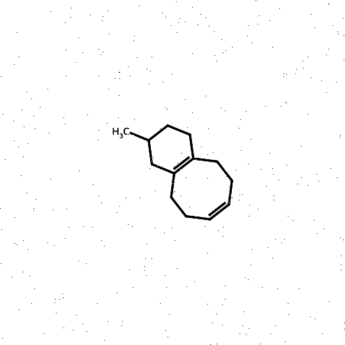 CC1CCC2=C(CC/C=C\CC2)C1